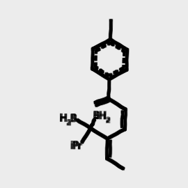 BC(B)(C(/C=C\C(=C)c1ccc(C)cc1)=C/C)C(C)C